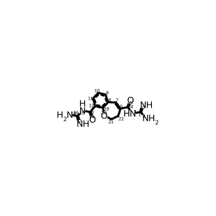 N=C(N)NC(=O)C1=Cc2cccc(C(=O)NC(=N)N)c2OCC1